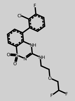 O=S1(=O)N=C(NCCOCC(F)F)Nc2c(-c3cccc(F)c3Cl)cccc21